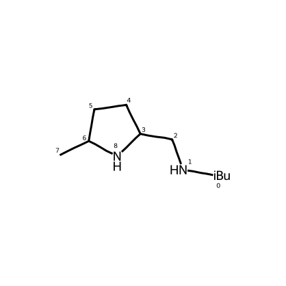 CCC(C)NCC1CCC(C)N1